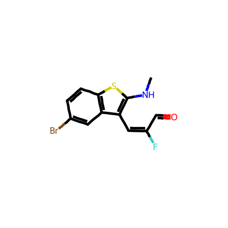 CNc1sc2ccc(Br)cc2c1/C=C(/F)C=O